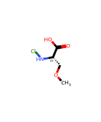 COC[C@H](NCl)C(=O)O